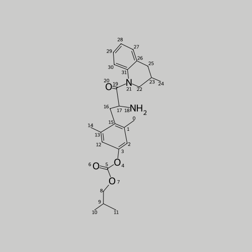 Cc1cc(OC(=O)OCC(C)C)cc(C)c1CC(N)C(=O)N1CC(C)Cc2ccccc21